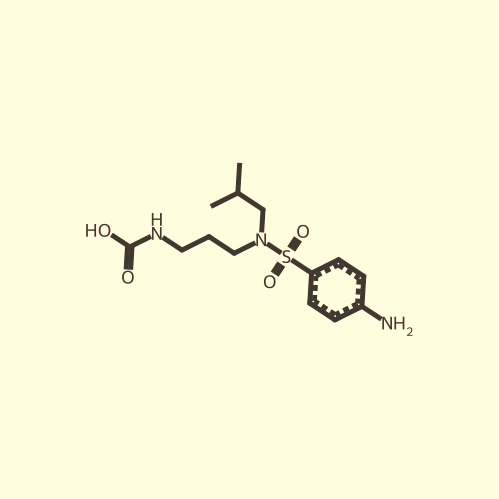 CC(C)CN(CCCNC(=O)O)S(=O)(=O)c1ccc(N)cc1